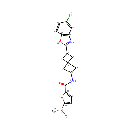 O=C(NC1CC2(C1)CC(c1nc3cc(Cl)ccc3o1)C2)c1ccc([S+]([O-])C(F)(F)F)o1